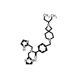 CCC(CC)N1CC2(CCN(Cc3ccc(C(=O)N(Cc4ncc[nH]4)Cc4ncc[nH]4)cc3)CC2)C1